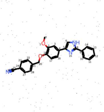 COc1cc(-c2c[nH]c(-c3ccccc3)n2)ccc1OCc1ccc(C#N)cc1